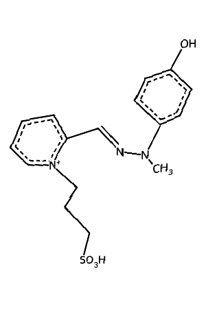 CN(N=Cc1cccc[n+]1CCCS(=O)(=O)O)c1ccc(O)cc1